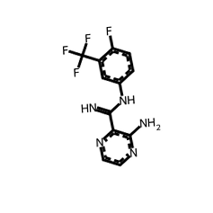 N=C(Nc1ccc(F)c(C(F)(F)F)c1)c1nccnc1N